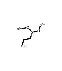 CCCO[SiH](CCC(C)(C)C)OCCC